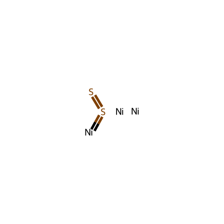 S=[S]=[Ni].[Ni].[Ni]